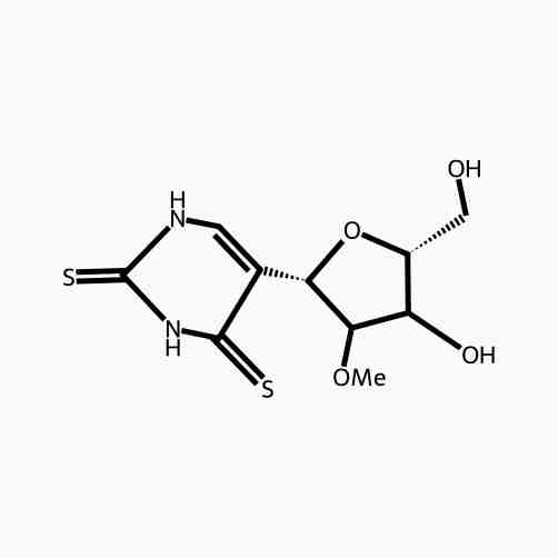 COC1C(O)[C@@H](CO)O[C@H]1c1c[nH]c(=S)[nH]c1=S